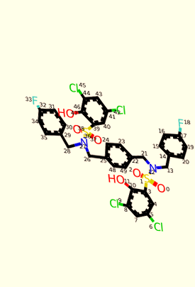 O=S(=O)(c1cc(Cl)cc(Cl)c1O)N(Cc1ccc(F)cc1)Cc1ccc(CN(Cc2ccc(F)cc2)S(=O)(=O)c2cc(Cl)cc(Cl)c2O)cc1